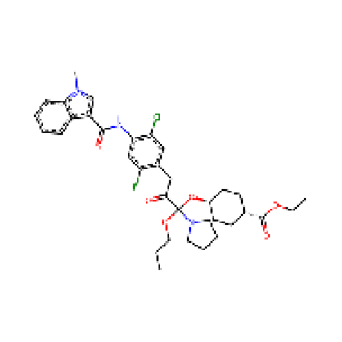 CCCOC(O[C@H]1CC[C@H](C(=O)OCC)CC1)(C(=O)Cc1cc(Cl)c(NC(=O)c2cn(C)c3ccccc23)cc1F)N1CCCC1